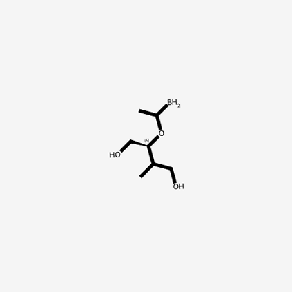 BC(C)O[C@H](CO)C(C)CO